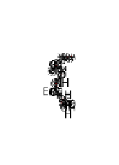 CCOc1cc(C(=O)NCCCOc2cccc(C(C(=O)OCC3CCN(Cc4ccccc4)CC3)c3ccccc3)c2)ccc1CNCCc1ccc(O)c2[nH]c(=O)ccc12